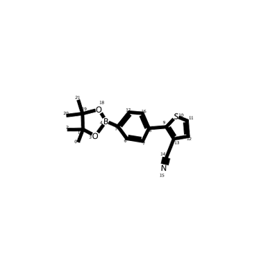 CC1(C)OB(c2ccc(-c3sccc3C#N)cc2)OC1(C)C